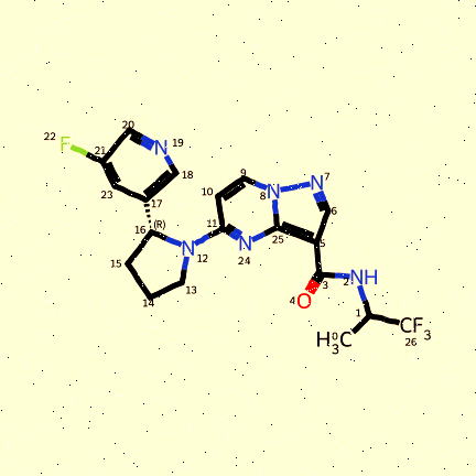 CC(NC(=O)c1cnn2ccc(N3CCC[C@@H]3c3cncc(F)c3)nc12)C(F)(F)F